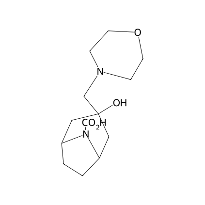 O=C(O)N1C2CCC1CC(O)(CN1CCOCC1)C2